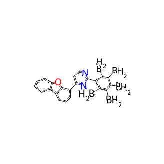 Bc1c(B)c(B)c(-c2nccc(-c3cccc4c3oc3ccccc34)n2)c(B)c1B